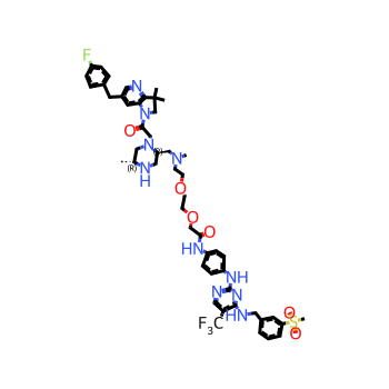 C[C@@H]1CN(CC(=O)N2CC(C)(C)c3ncc(Cc4ccc(F)cc4)cc32)[C@@H](CN(C)CCOCCOCC(=O)Nc2ccc(Nc3ncc(C(F)(F)F)c(NCc4cccc(S(C)(=O)=O)c4)n3)cc2)CN1